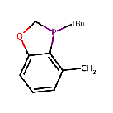 Cc1cccc2c1P(C(C)(C)C)CO2